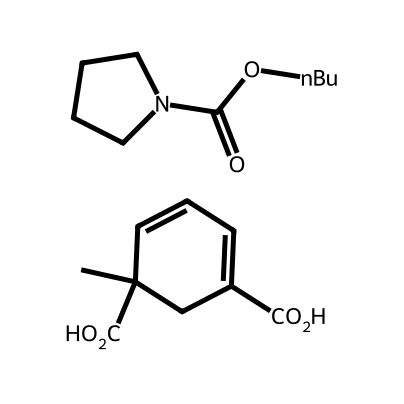 CC1(C(=O)O)C=CC=C(C(=O)O)C1.CCCCOC(=O)N1CCCC1